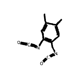 Cc1cc(N=C=O)c(N=C=O)cc1C